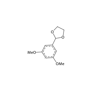 COc1[c]c(OC)cc(C2OCCO2)c1